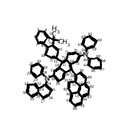 CC1(C)c2ccccc2-c2ccc(-c3c4cc(N(c5ccccc5)c5cccc6ccccc56)ccc4c(-c4ccc5ccc6cccc7ccc4c5c67)c4cc(N(c5ccccc5)c5ccccc5)ccc34)cc21